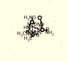 CCn1nc(C)cc1C(=O)Nc1nc2cc(C(N)=O)cc(OC)c2n1C/C=C/Cn1c(NC(=O)c2cc(C)nn2CC)nc2cc(C(N)=O)cc(OCC#CC3CCCCC3)c21